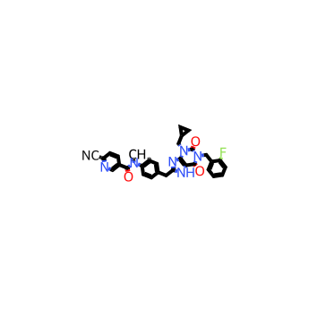 CN(C(=O)c1ccc(C#N)nc1)c1ccc(Cc2nc3c([nH]2)c(=O)n(Cc2ccccc2F)c(=O)n3CC2CC2)cc1